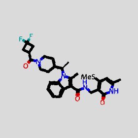 CSc1cc(C)[nH]c(=O)c1CNC(=O)c1c(C)n([C@H](C)C2CCN(C(=O)C3CC(F)(F)C3)CC2)c2ccccc12